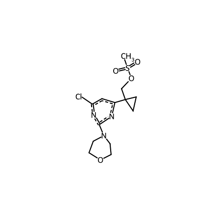 CS(=O)(=O)OCC1(c2cc(Cl)nc(N3CCOCC3)n2)CC1